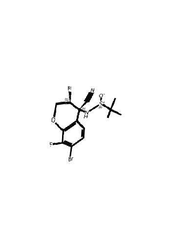 CC(C)(C)[S@+]([O-])N[C@]1(C#N)c2ccc(Br)c(F)c2OC[C@H]1F